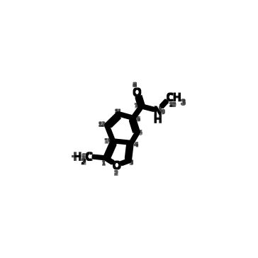 [CH2]c1occ2cc(C(=O)NC)ccc12